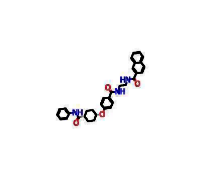 O=C(NCCNC(=O)c1ccc2ccccc2c1)c1ccc(O[C@H]2CC[C@@H](C(=O)Nc3ccccc3)CC2)cc1